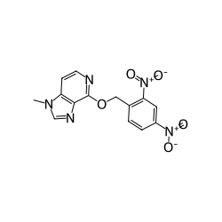 Cn1cnc2c(OCc3ccc([N+](=O)[O-])cc3[N+](=O)[O-])nccc21